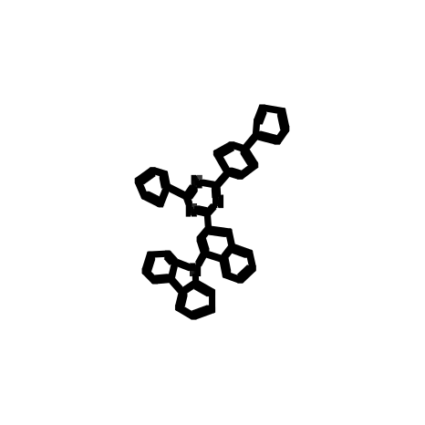 c1ccc(-c2ccc(-c3nc(-c4ccccc4)nc(-c4cc(-n5c6ccccc6c6ccccc65)c5ccccc5c4)n3)cc2)cc1